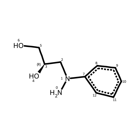 NN(C[C@@H](O)CO)c1ccccc1